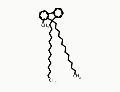 CCCCCCCCCCCCCCC1(CCCCCCCCCCCCCC)c2ccccc2-c2cccc(C)c21